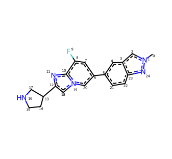 Cn1cc2cc(-c3cc(F)c4nc(C5CCNC5)cn4c3)ccc2n1